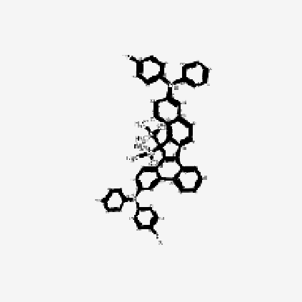 C[Si](C)(C)C1([Si](C)(C)C)c2c(ccc3cc(N(c4ccccc4)c4ccc(F)cc4)ccc23)-c2c1c1ccc(N(c3ccccc3)c3ccc(F)cc3)cc1c1ccccc21